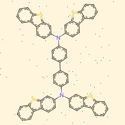 c1ccc2c(c1)sc1cc(N(c3ccc(-c4ccc(N(c5ccc6c(c5)sc5ccccc56)c5ccc6c(c5)sc5ccccc56)cc4)cc3)c3ccc4c(c3)sc3ccccc34)ccc12